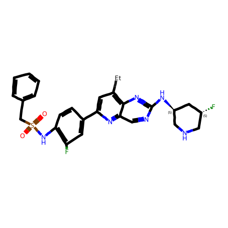 CCc1cc(-c2ccc(NS(=O)(=O)Cc3ccccc3)c(F)c2)nc2cnc(N[C@@H]3CNC[C@@H](F)C3)nc12